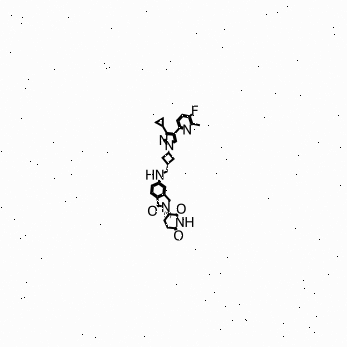 Cc1nc(-c2cn([C@H]3C[C@H](CNc4ccc5c(c4)CN([C@H]4CCC(=O)NC4=O)C5=O)C3)nc2C2CC2)ccc1F